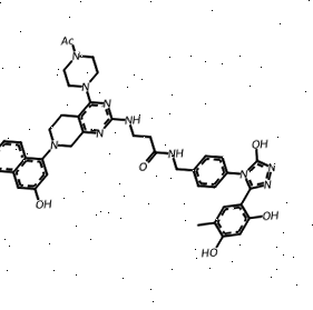 CC(=O)N1CCN(c2nc(NCCC(=O)NCc3ccc(-n4c(O)nnc4-c4cc(C)c(O)cc4O)cc3)nc3c2CCN(c2cc(O)cc4ccccc24)C3)CC1